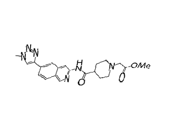 COC(=O)CN1CCC(C(=O)Nc2cc3cc(-c4cn(C)nn4)ccc3cn2)CC1